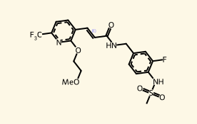 COCCOc1nc(C(F)(F)F)ccc1/C=C/C(=O)NCc1ccc(NS(C)(=O)=O)c(F)c1